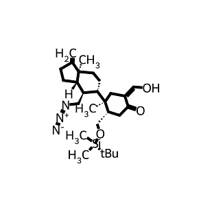 C=C1CC[C@H]2[C@H](CN=[N+]=[N-])[C@@H]([C@@]3(C)CC(=CO)C(=O)C[C@@H]3CO[Si](C)(C)C(C)(C)C)CC[C@]12C